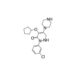 O=C1C(OC2CCCC2)=C(N2CCNCC2)CNN1c1cccc(Cl)c1